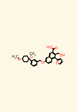 CO[C@H]1CC[C@](OC)(c2cccc(COc3ccc4c(-c5ccco5)c(CO)c(C(=O)O)cc4c3)c2)CC1